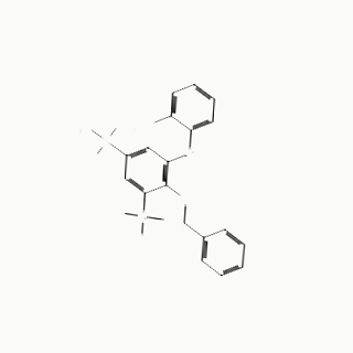 C[Si](C)(C)c1cc(Pc2ccccc2F)c(OCc2ccccc2)c([Si](C)(C)C)c1